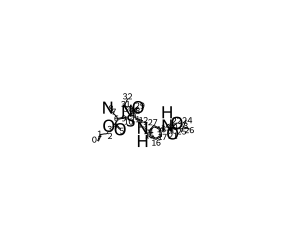 C=CCOC(=O)C(C#N)=c1sc(=CNc2cccc(NC(=O)OC(C)(C)C)c2)c(=O)n1CC